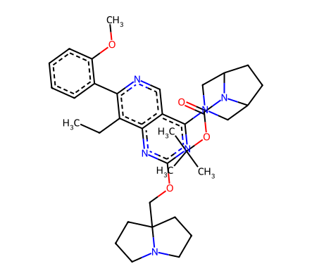 CCc1c(-c2ccccc2OC)ncc2c(N3CC4CCC(C3)N4C(=O)OC(C)(C)C)nc(OCC34CCCN3CCC4)nc12